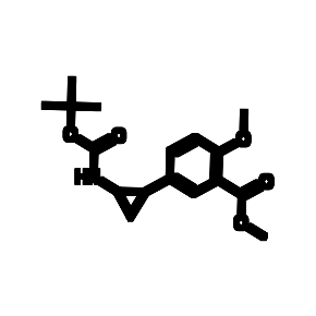 COC(=O)c1cc(C2CC2NC(=O)OC(C)(C)C)ccc1OC